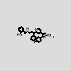 Cn1cc(-c2ccnc(C(CCNC(=O)c3ccccc3O)c3ccccc3)c2)c(-c2ccc(F)cc2)n1